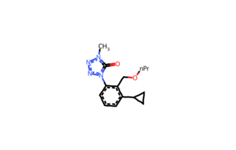 CCCOCc1c(C2CC2)cccc1-n1nnn(C)c1=O